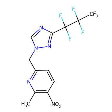 Cc1nc(Cn2cnc(C(F)(F)C(F)(F)C(F)(F)F)n2)ccc1[N+](=O)[O-]